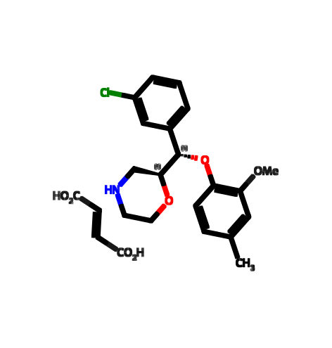 COc1cc(C)ccc1O[C@@H](c1cccc(Cl)c1)[C@@H]1CNCCO1.O=C(O)C=CC(=O)O